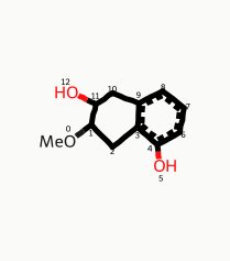 COC1Cc2c(O)cccc2CC1O